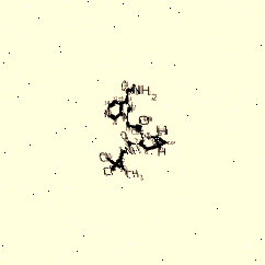 C[C@H]1C(CNC(=O)[C@@H]2C[C@H]3C[C@H]3N2C(=O)Cn2nc(C(N)=O)c3ccncc32)C1(Cl)Cl